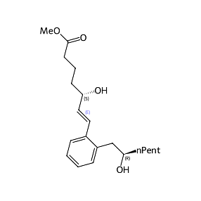 CCCCC[C@@H](O)Cc1ccccc1/C=C/[C@@H](O)CCCC(=O)OC